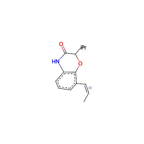 C/C=C\c1cccc2c1OC(C(C)C)C(=O)N2